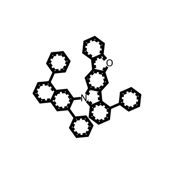 c1ccc(-c2cc3cccc(-c4ccccc4)c3cc2-n2c3cc4c(cc3c3c(-c5ccccc5)cccc32)oc2ccccc24)cc1